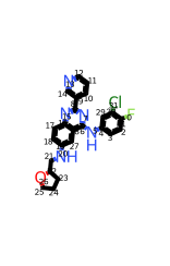 Fc1ccc(Nc2nc(-c3cccnc3)nc3ccc(NCC4CCCO4)cc23)cc1Cl